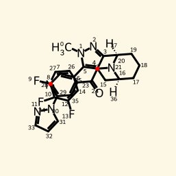 Cn1nc2c(c1-c1cc(F)c(F)c(F)c1)C[C@@H]1CCC[C@H]2N1CC(=O)c1ccnc(-n2cccn2)c1